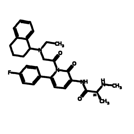 CCN(CC(=O)n1c(-c2ccc(F)cc2)ccc(NC(=O)[C@H](C)NC)c1=O)C1CCCc2ccccc21